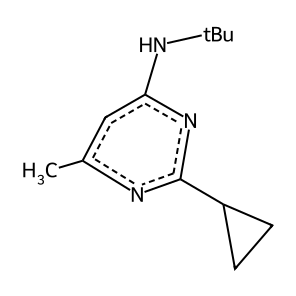 Cc1cc(NC(C)(C)C)nc(C2CC2)n1